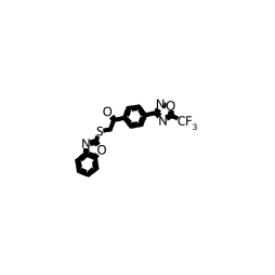 O=C(CSc1nc2ccccc2o1)c1ccc(-c2noc(C(F)(F)F)n2)cc1